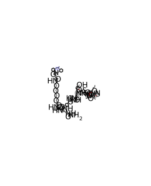 CCCCCCON(C(=O)[C@@H](NC(=O)[C@H]1CCCCN1C)[C@@H](C)CC)[C@H](C[C@@H](OC(C)=O)c1nc(C(=O)N[C@@H](Cc2ccc(O)cc2)C[C@H](C)C(=O)NNC(=O)OCc2ccc(NC(=O)[C@H](CCCNC(N)=O)NC(=O)[C@@H](NC(=O)CCOCCOCCOCCOCCNC(=O)CCC(=O)N3Cc4ccccc4/C(C)=C\c4ccccc43)C(C)C)cc2)cs1)C(C)C